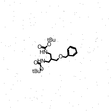 CC(C)(C)OC(=O)NCC(CNC(=O)OC(C)(C)C)COCc1ccccc1